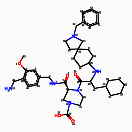 COc1cc(CNC(=O)[C@@H]2CN(C(=O)O)CCN2C(=O)C(CC2CCCCC2)NC2CCC3(CC2)CCN(Cc2ccccc2)C3)ccc1CN